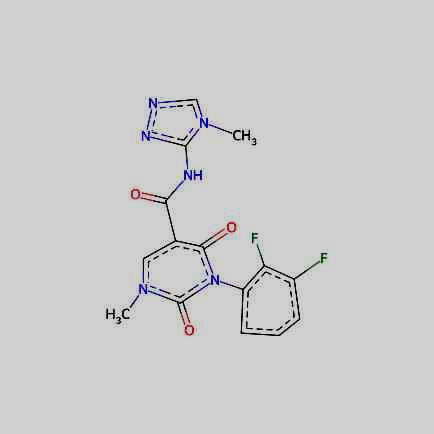 Cn1cnnc1NC(=O)c1cn(C)c(=O)n(-c2cccc(F)c2F)c1=O